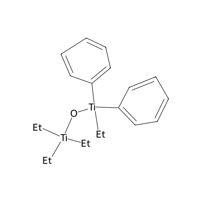 C[CH2][Ti]([CH2]C)([CH2]C)[O][Ti]([CH2]C)([c]1ccccc1)[c]1ccccc1